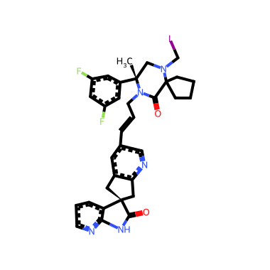 C[C@@]1(c2cc(F)cc(F)c2)CN(CI)C2(CCCC2)C(=O)N1C/C=C/c1cnc2c(c1)C[C@@]1(C2)C(=O)Nc2ncccc21